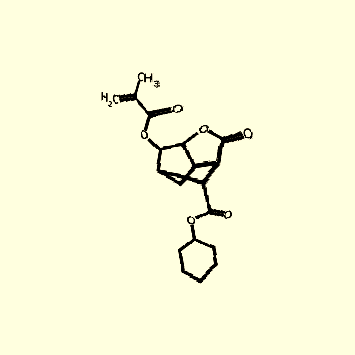 C=C(C)C(=O)OC1C2CC3C1OC(=O)C3C2C(=O)OC1CCCCC1